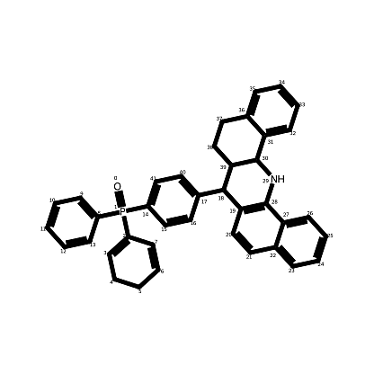 O=P(C1=CCCC=C1)(c1ccccc1)c1ccc(C2c3ccc4ccccc4c3NC3c4ccccc4CCC32)cc1